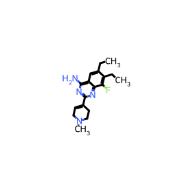 CCc1cc2c(N)nc(C3=CCN(C)CC3)nc2c(F)c1CC